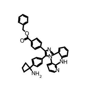 NC1(c2ccc(-c3c(-c4ccc(C(=O)OCc5ccccc5)cc4)nc4n3-c3cccnc3Nc3ccccc3-4)cc2)CCC1